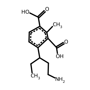 CCC(CCN)c1ccc(C(=O)O)c(C)c1C(=O)O